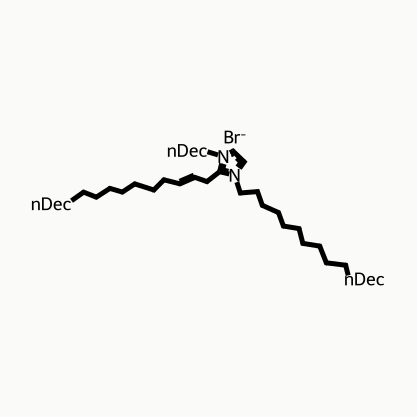 CCCCCCCCCCCCCCCCCC=CCc1n(CCCCCCCCCCCCCCCCCCCC)cc[n+]1CCCCCCCCCC.[Br-]